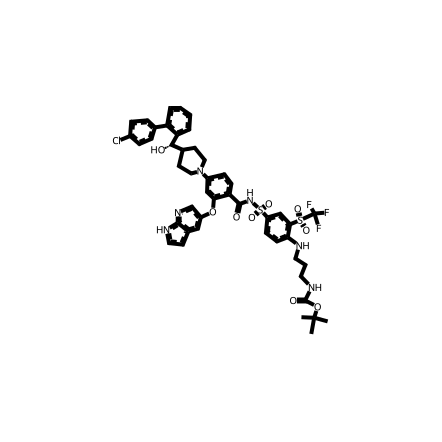 CC(C)(C)OC(=O)NCCCNc1ccc(S(=O)(=O)NC(=O)c2ccc(N3CCC([C@H](O)c4ccccc4-c4ccc(Cl)cc4)CC3)cc2Oc2cnc3[nH]ccc3c2)cc1S(=O)(=O)C(F)(F)F